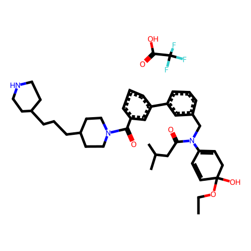 CCOC1(O)C=CC(N(Cc2cccc(-c3cccc(C(=O)N4CCC(CCCC5CCNCC5)CC4)c3)c2)C(=O)CC(C)C)=CC1.O=C(O)C(F)(F)F